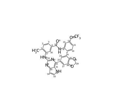 Cc1ccc(C(=O)Nc2cccc(OC(F)(F)F)c2)cc1Nc1nc(-c2ccc3c(c2)OCO3)c2[nH]ccc2n1